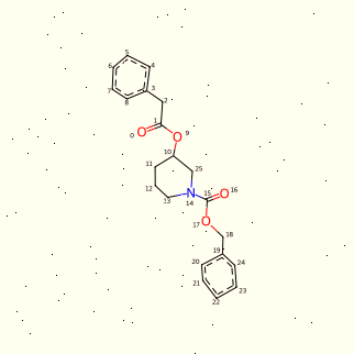 O=C(Cc1ccccc1)OC1CCCN(C(=O)OCc2ccccc2)C1